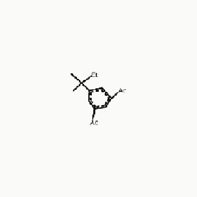 CCC(C)(C)c1cc(C(C)=O)cc(C(C)=O)c1